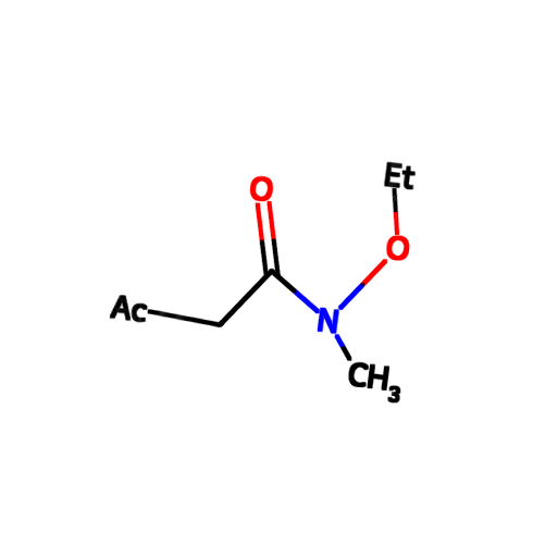 CCON(C)C(=O)CC(C)=O